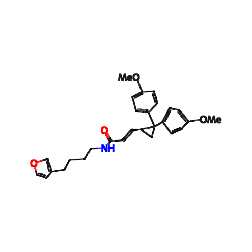 COc1ccc(C2(c3ccc(OC)cc3)C[C@H]2/C=C/C(=O)NCCCCc2ccoc2)cc1